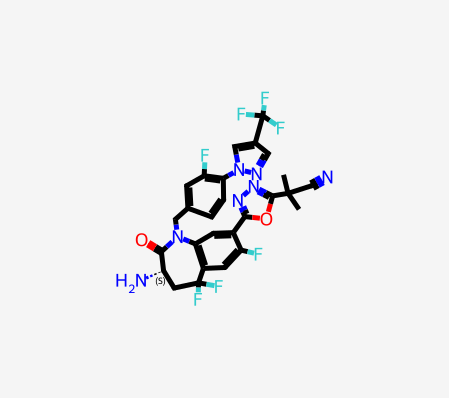 CC(C)(C#N)c1nnc(-c2cc3c(cc2F)C(F)(F)C[C@H](N)C(=O)N3Cc2ccc(-n3cc(C(F)(F)F)cn3)c(F)c2)o1